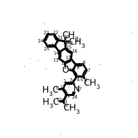 Cc1cc(-c2c(C)ccc3c2oc2cc4c(cc23)C(C)(C)c2ccccc2-4)ncc1C(C)C